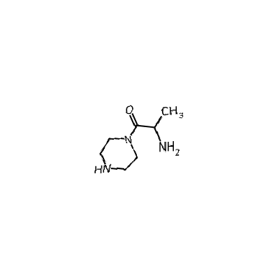 CC(N)C(=O)N1CCNCC1